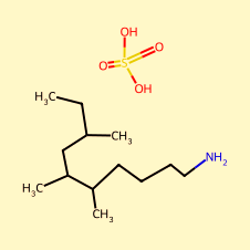 CCC(C)CC(C)C(C)CCCCN.O=S(=O)(O)O